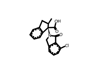 CC1Cc2ccccc2[C@]1(C(=O)O)N1Cc2cccc(Cl)c2C1=O